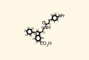 CC(C)c1ccc(CCC(=O)NCCc2cn(-c3ccccc3)c3ccc(C(=O)O)cc23)cc1